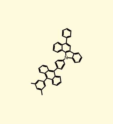 Cc1cc(C)cc(-c2c3ccccc3c(-c3ccc(-n4c5ccccc5c5cc(-c6ccccc6)c6ccccc6c54)cc3)c3ccccc23)c1